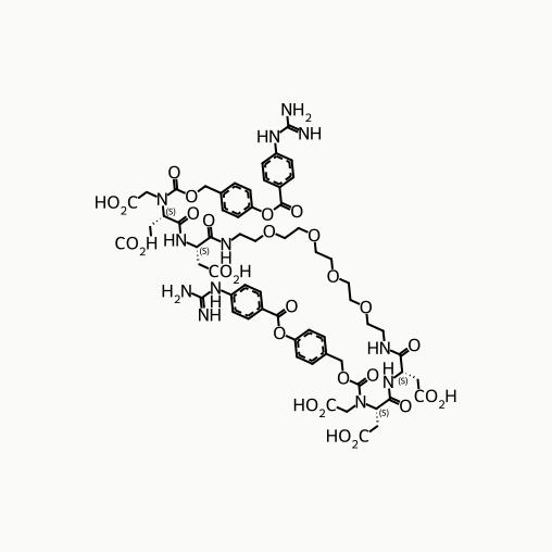 N=C(N)Nc1ccc(C(=O)Oc2ccc(COC(=O)N(CC(=O)O)[C@@H](CC(=O)O)C(=O)N[C@@H](CC(=O)O)C(=O)NCCOCCOCCOCCOCCNC(=O)[C@H](CC(=O)O)NC(=O)[C@H](CC(=O)O)N(CC(=O)O)C(=O)OCc3ccc(OC(=O)c4ccc(NC(=N)N)cc4)cc3)cc2)cc1